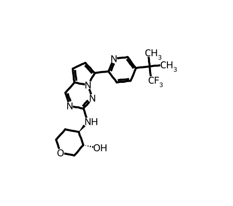 CC(C)(c1ccc(-c2ccc3cnc(N[C@@H]4CCOC[C@H]4O)nn23)nc1)C(F)(F)F